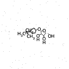 C[N+](C)(C)c1ccc(O[C@@H]2O[C@H](CO)[C@@H](O)[C@H]2O)cc1